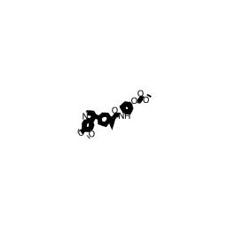 COC(=O)COc1ccc(NC(=O)C2CC23CCC(c2ccnc4cc(OC)c(OC)cc24)CC3)cc1